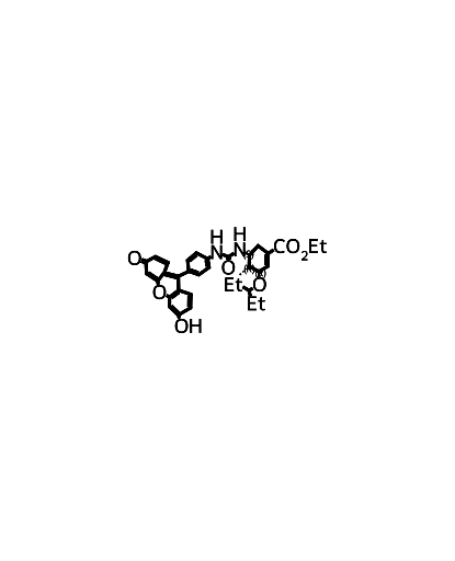 CCOC(=O)C1=C[C@@H](OC(CC)CC)[C@H](C)[C@@H](NC(=O)Nc2ccc(-c3c4ccc(=O)cc-4oc4cc(O)ccc34)cc2)C1